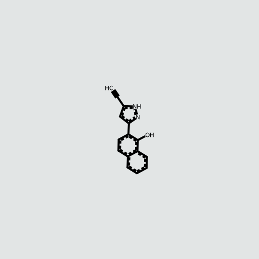 C#Cc1cc(-c2ccc3ccccc3c2O)n[nH]1